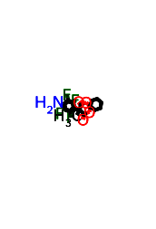 CC1(c2c(F)c(F)c(N)c(F)c2F)C(=O)OC2(CCCCC2)OC1=O